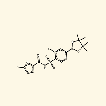 Cc1ccc(C(=O)NS(=O)(=O)c2ccc(B3OC(C)(C)C(C)(C)O3)cc2F)o1